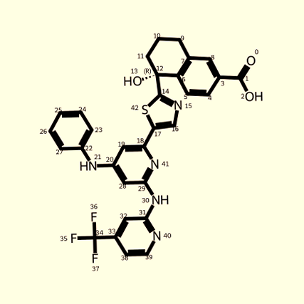 O=C(O)c1ccc2c(c1)CCC[C@]2(O)c1ncc(-c2cc(Nc3ccccc3)cc(Nc3cc(C(F)(F)F)ccn3)n2)s1